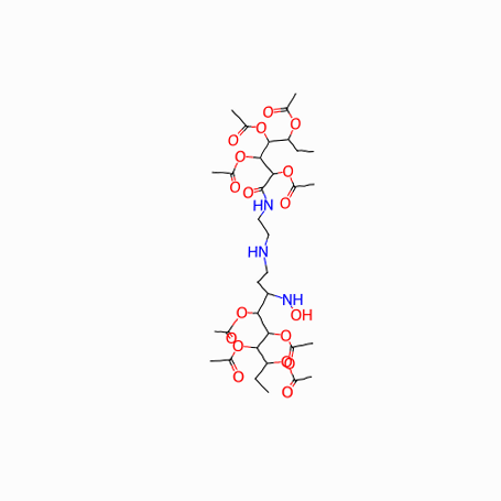 CCC(OC(C)=O)C(OC(C)=O)C(OC(C)=O)C(OC(C)=O)C(=O)NCCNCCC(NO)C(OC(C)=O)C(OC(C)=O)C(OC(C)=O)C(CC)OC(C)=O